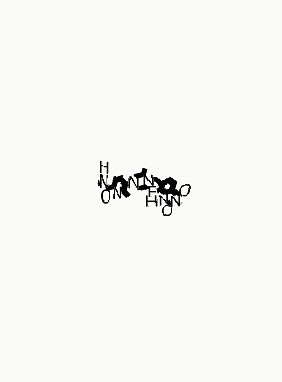 CNC(=O)c1ccc(N2CCN(Cc3ccc4c(=O)n(C)c(=O)[nH]c4c3F)C(C)C2)c(C)n1